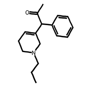 CCCN1CCC=C(C(C(C)=O)c2ccccc2)C1